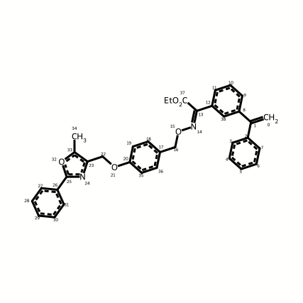 C=C(c1ccccc1)c1cccc(C(=NOCc2ccc(OCc3nc(-c4ccccc4)oc3C)cc2)C(=O)OCC)c1